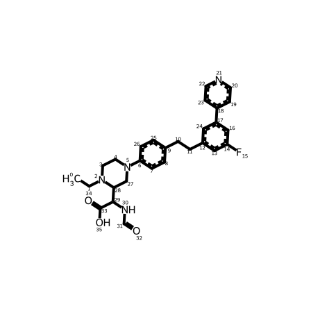 CCN1CCN(c2ccc(CCc3cc(F)cc(-c4ccncc4)c3)cc2)CC1C(NC=O)C(=O)O